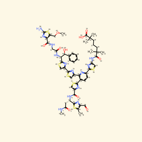 CNC(=O)C[C@H](NC(=O)c1csc(-c2ccc(-c3nc(NC(=O)C(C)(C)CCCC(C)(C)C(=O)O)cs3)nc2-c2csc(-c3csc([C@@H](NC(=O)CNC(=O)c4nc(N)sc4COC)[C@@H](O)c4ccccc4)n3)n2)n1)c1nc(C=O)c(C)s1